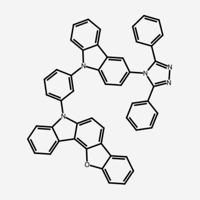 c1ccc(-c2nnc(-c3ccccc3)n2-c2ccc3c(c2)c2ccccc2n3-c2cccc(-n3c4ccccc4c4c5oc6ccccc6c5ccc43)c2)cc1